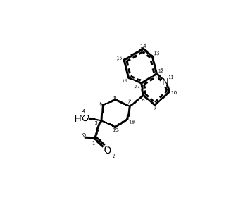 CC(=O)C1(O)CCC(c2ccnc3ccccc23)CC1